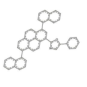 c1ccc(-c2cnc(-c3cc(-c4cccc5ccccc45)c4ccc5ccc(-c6cccc7ccccc67)c6ccc3c4c56)o2)cc1